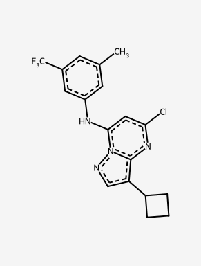 Cc1cc(Nc2cc(Cl)nc3c(C4CCC4)cnn23)cc(C(F)(F)F)c1